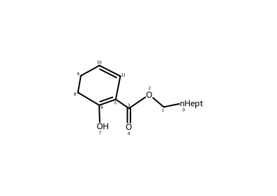 CCCCCCCCOC(=O)C1=C(O)CCC=C1